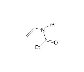 C=CN(CCC)C(=O)CC